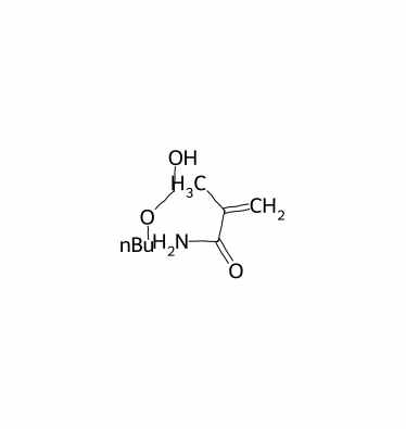 C=C(C)C(N)=O.CCCCOCO